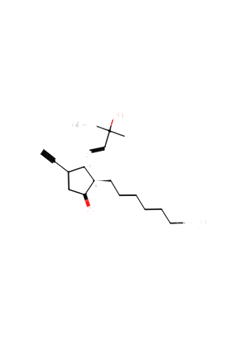 C#CC1CC(=O)[C@H](CCCCCCC(=O)O)[C@H]1C=CC(C)(O)CCCCC